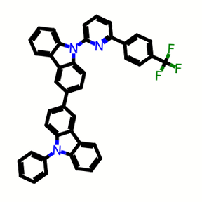 FC(F)(F)c1ccc(-c2cccc(-n3c4ccccc4c4cc(-c5ccc6c(c5)c5ccccc5n6-c5ccccc5)ccc43)n2)cc1